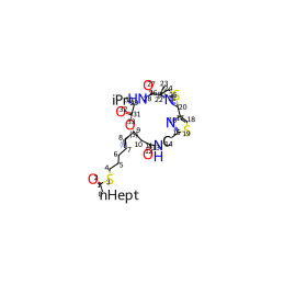 CCCCCCCC(=O)SCCC/C=C/[C@@H]1CC(=O)NCc2nc(cs2)C2=N[C@@](C)(CS2)C(=O)NC(C(C)C)C(=O)O1